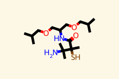 CC(C)COCC(COCC(C)C)NC(=O)C(C)(S)C(C)(C)N